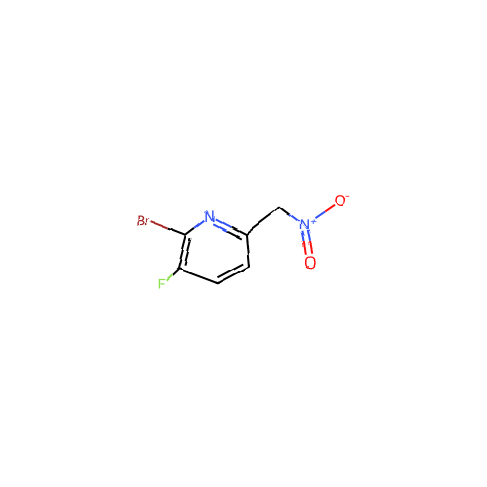 O=[N+]([O-])Cc1ccc(F)c(Br)n1